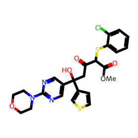 COC(=O)C(Sc1ccccc1Cl)C(=O)CC(O)(c1cnc(N2CCOCC2)nc1)c1ccsc1